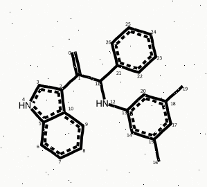 C=C(c1c[nH]c2ccccc12)C(Nc1cc(C)cc(C)c1)c1ccccc1